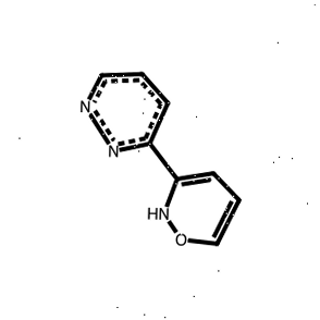 C1=CONC(c2cccnn2)=C1